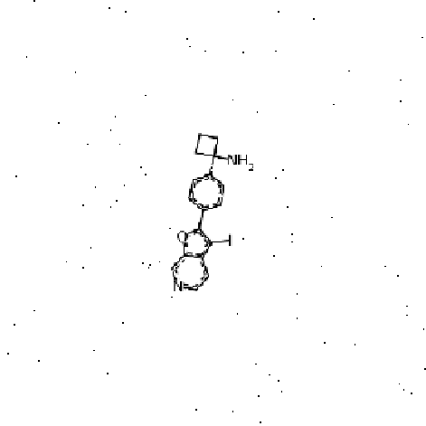 NC1(c2ccc(-c3oc4cnccc4c3I)cc2)CCC1